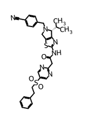 CC(C)[C@@H]1c2nc(NC(=O)Cc3ncc(S(=O)(=O)CCc4ccccc4)cn3)sc2CN1Cc1ccc(C#N)cc1